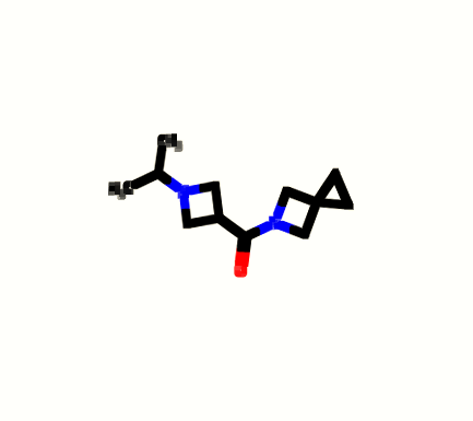 CC(C)N1CC(C(=O)N2CC3(CC3)C2)C1